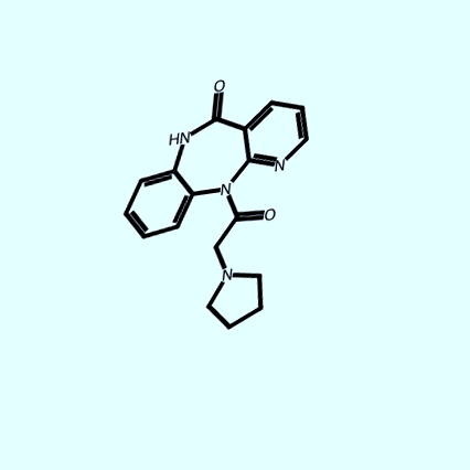 O=C1Nc2ccccc2N(C(=O)CN2CCCC2)c2ncccc21